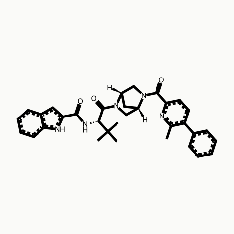 Cc1nc(C(=O)N2C[C@@H]3C[C@H]2CN3C(=O)[C@@H](NC(=O)c2cc3ccccc3[nH]2)C(C)(C)C)ccc1-c1ccccc1